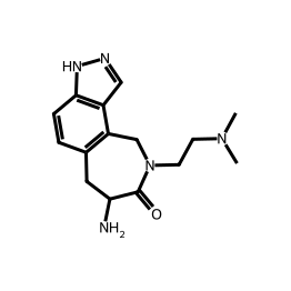 CN(C)CCN1Cc2c(ccc3[nH]ncc23)CC(N)C1=O